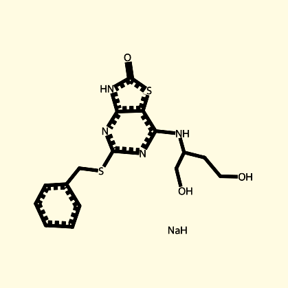 O=c1[nH]c2nc(SCc3ccccc3)nc(NC(CO)CCO)c2s1.[NaH]